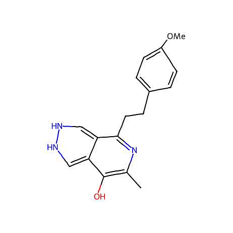 COc1ccc(CCc2nc(C)c(O)c3c2=CNNC=3)cc1